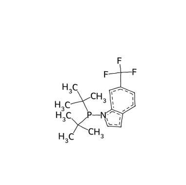 CC(C)(C)P(n1ccc2ccc(C(F)(F)F)cc21)C(C)(C)C